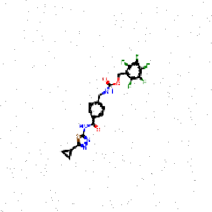 O=C(NCc1ccc(C(=O)Nc2nnc(C3CC3)s2)cc1)OCc1c(F)c(F)c(F)c(F)c1F